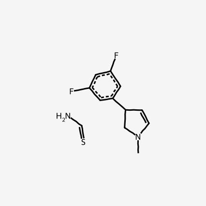 CN1C=CC(c2cc(F)cc(F)c2)C1.NC=S